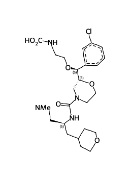 CNC[C@H](CC1CCOCC1)NC(=O)N1CCO[C@@H]([C@@H](OCCNC(=O)O)c2cccc(Cl)c2)C1